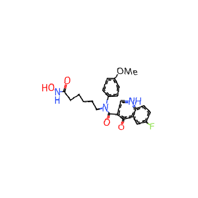 COc1ccc(N(CCCCCC(=O)NO)C(=O)c2c[nH]c3ccc(F)cc3c2=O)cc1